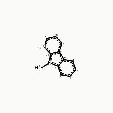 Bn1c2ccccc2c2cccnc21